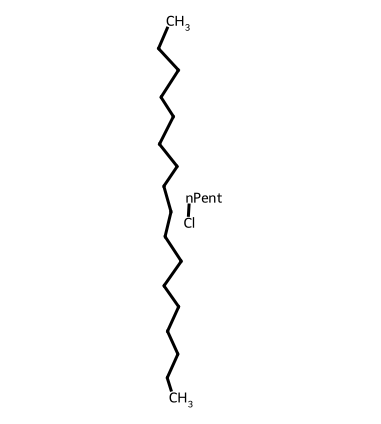 CCCCCCCCCCCCCCCCC.CCCCCCl